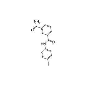 NC(=O)c1cccc(C(=O)Nc2ccc(I)cc2)c1